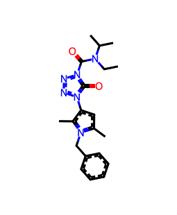 CCN(C(=O)n1nnn(-c2cc(C)n(Cc3ccccc3)c2C)c1=O)C(C)C